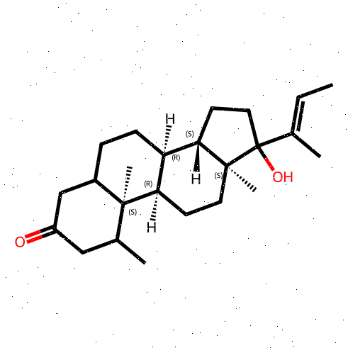 CC=C(C)C1(O)CC[C@H]2[C@@H]3CCC4CC(=O)CC(C)[C@]4(C)[C@@H]3CC[C@@]21C